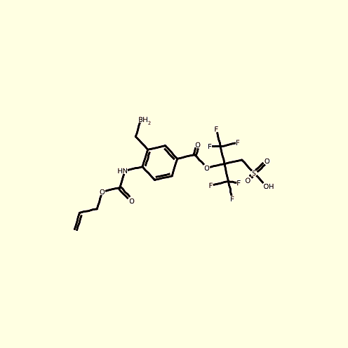 BCc1cc(C(=O)OC(CS(=O)(=O)O)(C(F)(F)F)C(F)(F)F)ccc1NC(=O)OCC=C